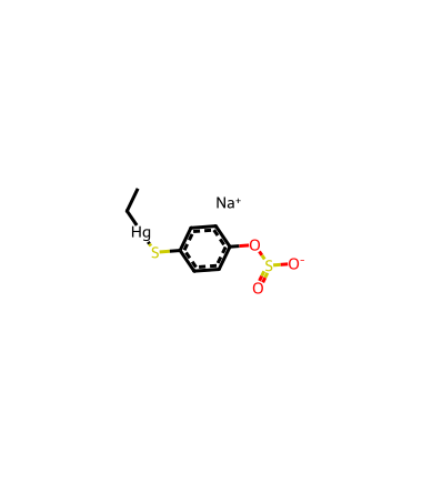 C[CH2][Hg][S]c1ccc(OS(=O)[O-])cc1.[Na+]